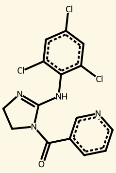 O=C(c1cccnc1)N1CCN=C1Nc1c(Cl)cc(Cl)cc1Cl